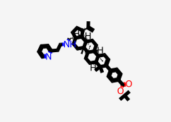 C=C(C)[C@@H]1CC[C@]2(CNCCc3ccccn3)CC[C@]3(C)[C@H](CC[C@@H]4[C@@]5(C)CC=C(c6ccc(C(=O)OC(C)(C)C)cc6)C(C)(C)[C@@H]5CC[C@]43C)[C@@H]12